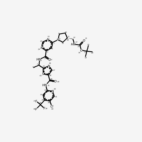 CC(NC(=O)c1cc(N2CC[C@H](CNC(=O)OC(C)(C)C)C2)ncn1)c1ncc(C(=O)Nc2cc(C(F)(F)F)c(Cl)cn2)s1